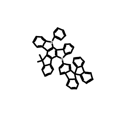 CC1(C)c2ccccc2-c2c1c1c3ccccc3n(-c3ccccc3)c1c1c3ccccc3n(-c3ccc4c(c3)C3(c5ccccc5-c5ccccc53)c3ccccc3-4)c21